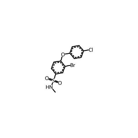 CNS(=O)(=O)c1ccc(Oc2ccc(Cl)cc2)c(Br)c1